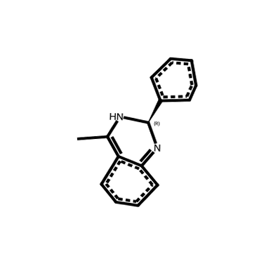 CC1=c2ccccc2=N[C@H](c2ccccc2)N1